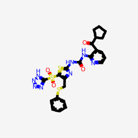 O=C(Nc1nc(CSc2ccccc2)c(S(=O)(=O)c2nnn[nH]2)s1)Nc1ncccc1C(=O)C1CCCC1